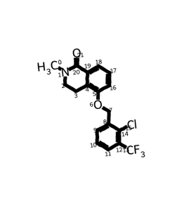 CN1CCc2c(OCc3cccc(C(F)(F)F)c3Cl)cccc2C1=O